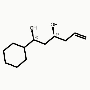 C=CC[C@H](O)C[C@H](O)C1CCCCC1